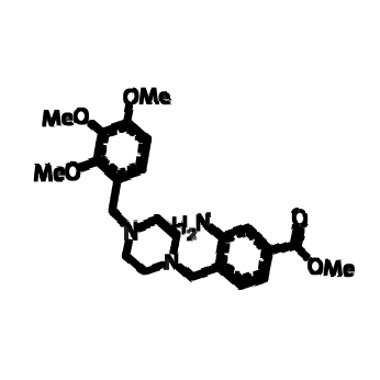 COC(=O)c1ccc(CN2CCN(Cc3ccc(OC)c(OC)c3OC)CC2)c(N)c1